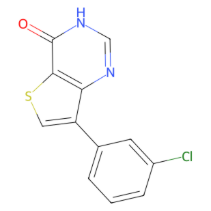 O=c1[nH]cnc2c(-c3cccc(Cl)c3)csc12